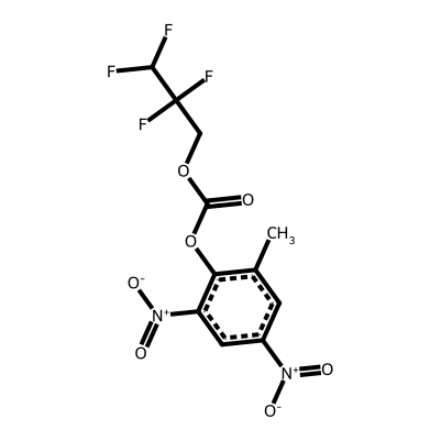 Cc1cc([N+](=O)[O-])cc([N+](=O)[O-])c1OC(=O)OCC(F)(F)C(F)F